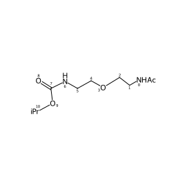 CC(=O)NCCOCCNC(=O)OC(C)C